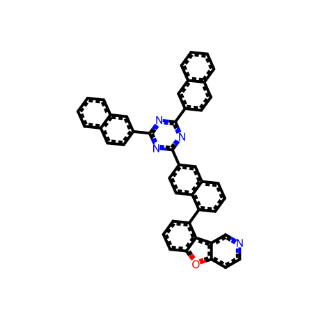 c1ccc2cc(-c3nc(-c4ccc5ccccc5c4)nc(-c4ccc5c(-c6cccc7oc8ccncc8c67)cccc5c4)n3)ccc2c1